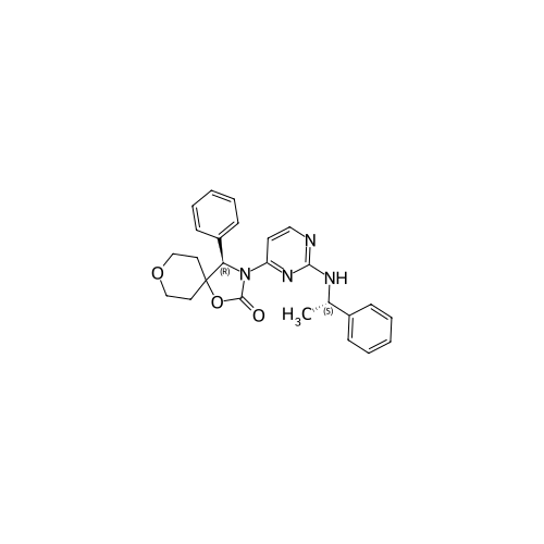 C[C@H](Nc1nccc(N2C(=O)OC3(CCOCC3)[C@H]2c2ccccc2)n1)c1ccccc1